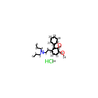 CCCN(CCC)CCc1ccc(OC)c2oc3ccccc3c12.Cl